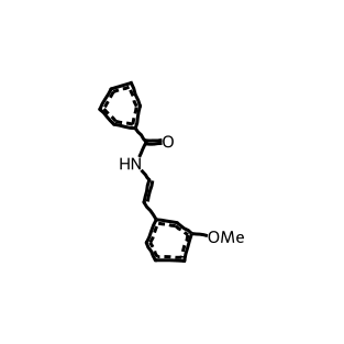 COc1cccc(C=CNC(=O)c2ccccc2)c1